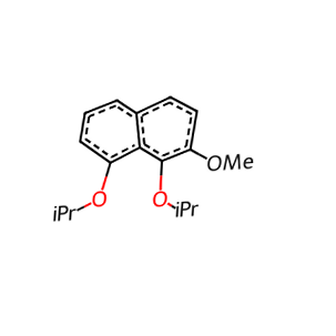 COc1ccc2cccc(OC(C)C)c2c1OC(C)C